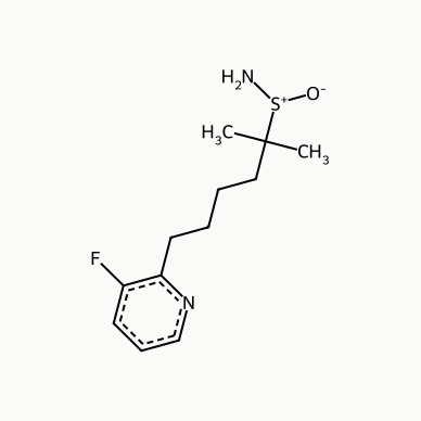 CC(C)(CCCCc1ncccc1F)[S+](N)[O-]